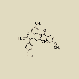 COc1ccc(C(=O)N2c3cc(C)ccc3[C@H](N(C(C)=O)c3ccc(C)cc3)C[C@@H]2C)cc1